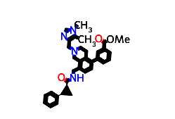 COC(=O)c1cccc(-c2ccc(CNC(=O)[C@H]3C[C@@H]3c3ccccc3)c3c2CCN(Cc2ncn(C)c2C)C3)c1